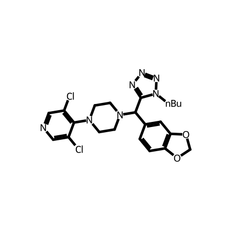 CCCCn1nnnc1C(c1ccc2c(c1)OCO2)N1CCN(c2c(Cl)cncc2Cl)CC1